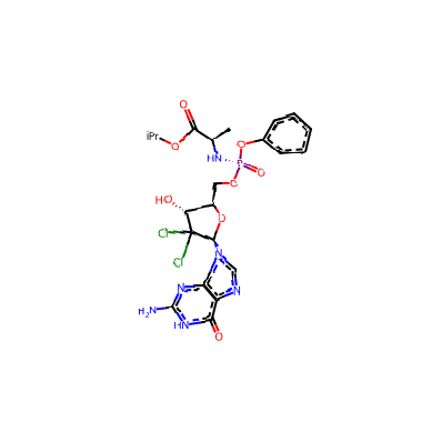 CC(C)OC(=O)[C@@H](C)N[P@](=O)(OC[C@H]1O[C@@H](n2cnc3c(=O)[nH]c(N)nc32)C(Cl)(Cl)[C@@H]1O)Oc1ccccc1